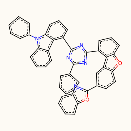 c1ccc(-c2nc(-c3cccc4oc5ccc(-c6nc7ccccc7o6)cc5c34)nc(-c3cccc4c3c3ccccc3n4-c3ccccc3)n2)cc1